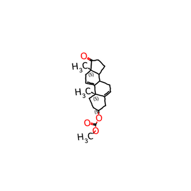 COC(=O)O[C@H]1CC[C@@]2(C)C(=CCC3C2=CC[C@]2(C)C(=O)CCC32)C1